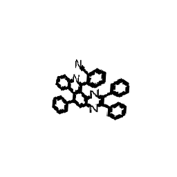 N#Cc1ccccc1-c1nc2ccccc2c2c(-c3ccccc3)cc3nc(-c4ccccc4)c(-c4ccccc4)nc3c12